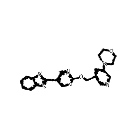 [c]1nc(OCc2cncc(N3CCOCC3)c2)ncc1-c1nc2ccccc2s1